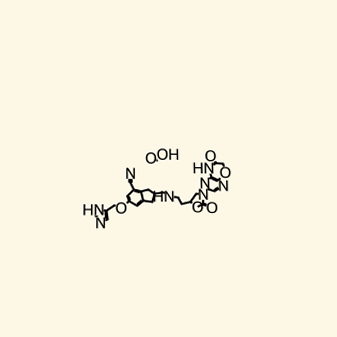 N#Cc1cc(OCc2cnc[nH]2)cc2c1CC(CNCCC1CN(c3cnc4c(n3)NC(=O)CO4)C(=O)O1)C2.O=CO